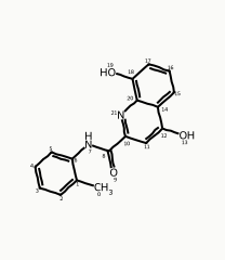 Cc1ccccc1NC(=O)c1cc(O)c2cccc(O)c2n1